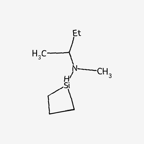 CCC(C)N(C)[SiH]1CCC1